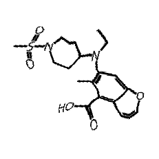 CCN(c1cc2occc2c(C(=O)O)c1C)C1CCN(S(C)(=O)=O)CC1